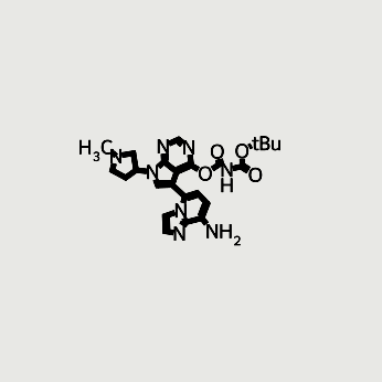 CN1CCC(n2cc(-c3ccc(N)c4nccn34)c3c(OC(=O)NC(=O)OC(C)(C)C)ncnc32)C1